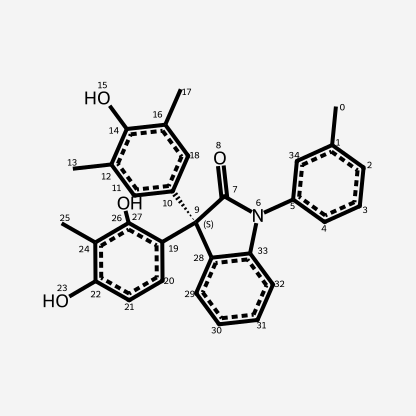 Cc1cccc(N2C(=O)[C@](c3cc(C)c(O)c(C)c3)(c3ccc(O)c(C)c3O)c3ccccc32)c1